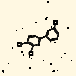 Clc1cc[c]c(-c2ccc(Cl)c(Cl)c2)c1